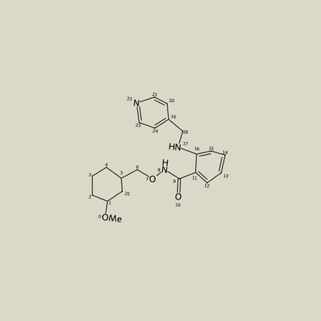 COC1CCCC(CONC(=O)c2ccccc2NCc2ccncc2)C1